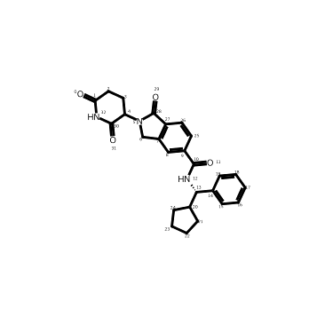 O=C1CCC(N2Cc3cc(C(=O)N[C@H](c4ccccc4)C4CCCC4)ccc3C2=O)C(=O)N1